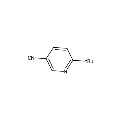 [C-]#[N+]c1ccc(C(C)(C)C)nc1